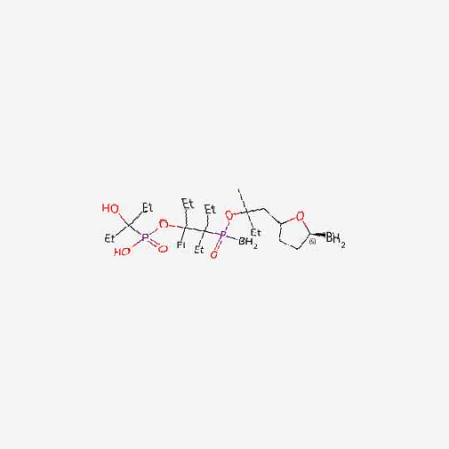 B[C@H]1CCC(CC(C)(CC)OP(B)(=O)C(CC)(CC)C(CC)(CC)OP(=O)(O)C(O)(CC)CC)O1